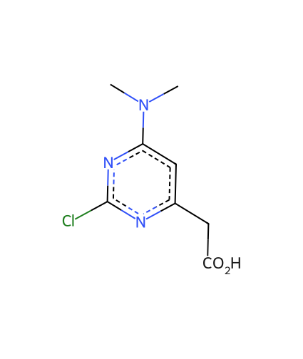 CN(C)c1cc(CC(=O)O)nc(Cl)n1